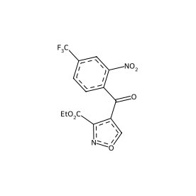 CCOC(=O)c1nocc1C(=O)c1ccc(C(F)(F)F)cc1[N+](=O)[O-]